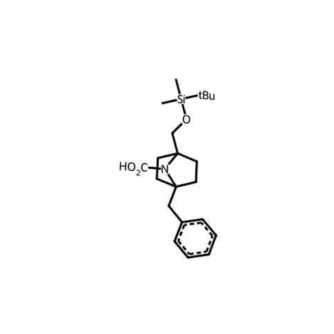 CC(C)(C)[Si](C)(C)OCC12CCC(Cc3ccccc3)(CC1)N2C(=O)O